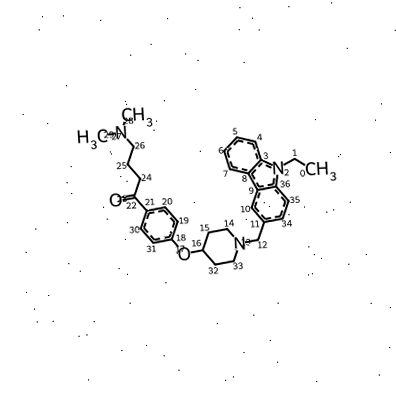 CCn1c2ccccc2c2cc(CN3CCC(Oc4ccc(C(=O)CCCN(C)C)cc4)CC3)ccc21